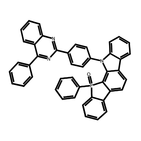 O=P1(c2ccccc2)c2ccccc2-c2ccc3c4ccccc4n(-c4ccc(-c5nc(-c6ccccc6)c6ccccc6n5)cc4)c3c21